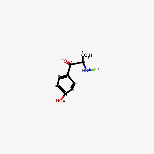 O=C(O)C(NF)C(=O)c1ccc(O)cc1